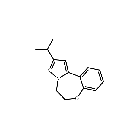 CC(C)c1cc2n(n1)CCOc1ccccc1-2